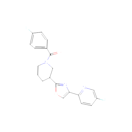 O=C(c1ccc(F)cc1)N1CCCC(c2nc(-c3ccc(F)cn3)co2)C1